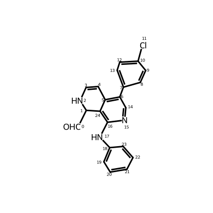 O=CC1NC=Cc2c(-c3ccc(Cl)cc3)cnc(Nc3ccccc3)c21